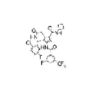 O=C1Cc2c(C(=O)NC3CCC3)sc(NC(=O)c3cc(F)cc(C(F)(F)F)c3)c2C(c2cc(F)ccc2Cl)N1